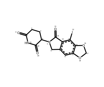 O=C1CCC(N2Cc3cc4c(c(I)c3C2=O)OCO4)C(=O)N1